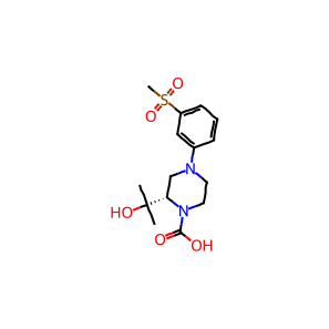 CC(C)(O)[C@@H]1CN(c2cccc(S(C)(=O)=O)c2)CCN1C(=O)O